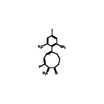 C=C1C(=O)CCC/C(c2c(C)cc(I)cc2C)=C\C=C/1F